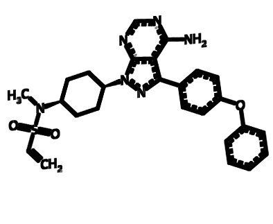 C=CS(=O)(=O)N(C)[C@H]1CC[C@@H](n2nc(-c3ccc(Oc4ccccc4)cc3)c3c(N)ncnc32)CC1